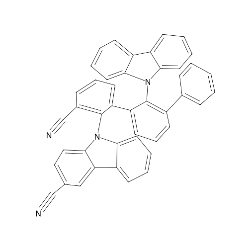 N#Cc1ccc2c(c1)c1ccccc1n2-c1c(C#N)cccc1-c1cccc(-c2ccccc2)c1-n1c2ccccc2c2ccccc21